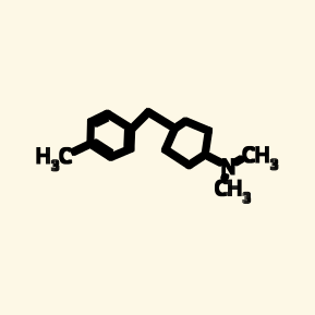 Cc1ccc(CC2CCC(N(C)C)CC2)cc1